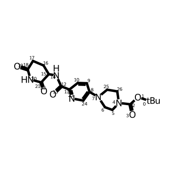 CC(C)(C)OC(=O)N1CCN(c2ccc(C(=O)NC3CCC(=O)NC3=O)nc2)CC1